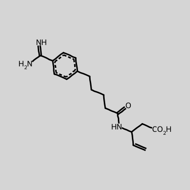 C=CC(CC(=O)O)NC(=O)CCCCc1ccc(C(=N)N)cc1